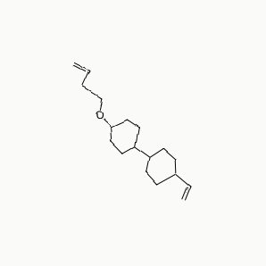 C=CCCOC1CCC(C2CCC(C=C)CC2)CC1